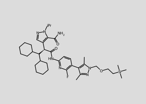 Cc1nn(COCC[Si](C)(C)C)c(C)c1-c1ccc(NC(=O)[C@H](c2cnn(C(C)C)c2C(N)=O)C(C2CCCCC2)C2CCCCC2)nc1F